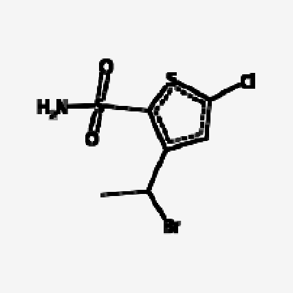 CC(Br)c1cc(Cl)sc1S(N)(=O)=O